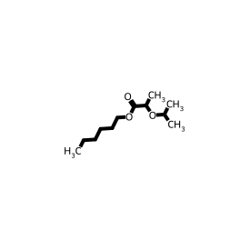 CCCCCCOC(=O)C(C)OC(C)C